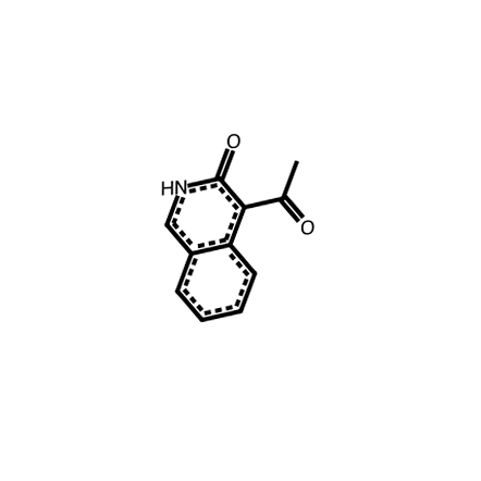 CC(=O)c1c(=O)[nH]cc2ccccc12